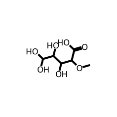 COC(C(=O)O)C(O)C(O)C(O)O